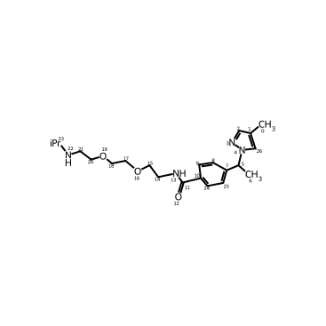 Cc1cnn(C(C)c2ccc(C(=O)NCCOCCOCCNC(C)C)cc2)c1